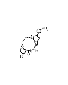 CCc1ccc2c(c1)C(=O)N(C)[C@@H](CC)c1cc3nc(N4CCC(N)C4)cc(n3n1)N(C)CCCCO2